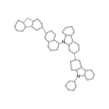 c1ccc(-n2c3ccccc3c3cc(-c4ccc5c6ccccc6n(-c6cccc7cc(-c8ccc9c(c8)-c8ccccc8C9)ccc67)c5c4)ccc32)cc1